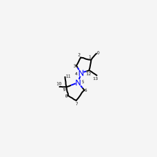 CC1CCN(N2CCCC2(C)C)C1C